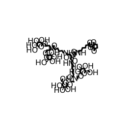 O=C(CN(CC(=O)NCCCCCC(=O)N(CCO[C@H]1O[C@H](CO)[C@@H](O)[C@H](O)[C@@H]1O)CCO[C@H]1O[C@H](CO)[C@@H](O)[C@H](O)[C@@H]1O)CC(=O)NCCCCCC(=O)N(CCO[C@H]1O[C@H](CO)[C@@H](O)[C@H](O)[C@@H]1O)CCO[C@H]1O[C@H](CO)[C@@H](O)[C@H](O)[C@@H]1O)NCCCCCC(=O)ON1C(=O)CCC1=O